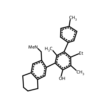 CCc1c(C)c(O)c(-c2cc3c(cc2CNC)CCCC3)c(C)c1-c1ccc(C)cc1